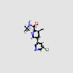 Cc1cc(-c2cncc(Cl)c2)cnc1C(=O)N(C)C(C)(C)C